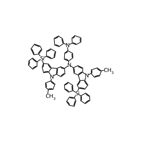 Cc1ccc(-n2c3ccc(N(c4ccc(N(c5ccccc5)c5ccccc5)cc4)c4ccc5c(c4)c4cc([Si](c6ccccc6)(c6ccccc6)c6ccccc6)ccc4n5-c4ccc(C)cc4)cc3c3cc([Si](c4ccccc4)(c4ccccc4)c4ccccc4)ccc32)cc1